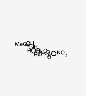 COC[C@]1(O)CC[C@@]2(C)[C@@H](CC[C@@H]3[C@@H]2CC[C@]2(C)[C@@H](C(=O)CS(=O)(=O)c4ccc([N+](=O)[O-])cc4)CC[C@@H]32)C1